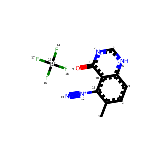 Cc1ccc2[nH]cnc(=O)c2c1[N+]#N.F[B-](F)(F)F